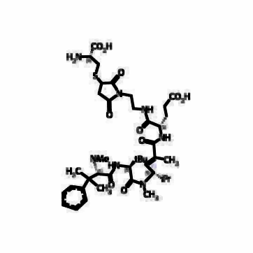 CN[C@H](C(=O)N[C@H](C(=O)N(C)[C@H](/C=C(\C)C(=O)N[C@@H](CCC(=O)O)C(=O)NCCN1C(=O)CC(SC[C@H](N)C(=O)O)C1=O)C(C)C)C(C)(C)C)C(C)(C)c1ccccc1